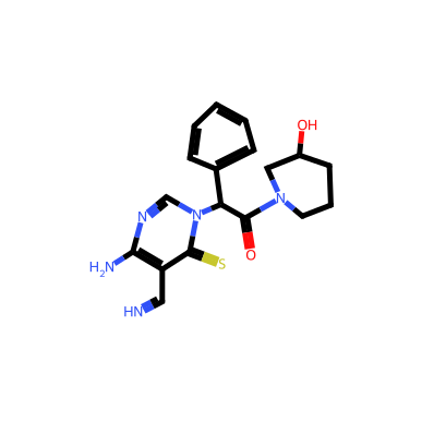 N=Cc1c(N)ncn(C(C(=O)N2CCCC(O)C2)c2ccccc2)c1=S